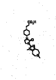 CN1CCc2nc(N3CCN(C4CCC(CCC(=O)O)CC4)C3=O)n(C)c2CC1